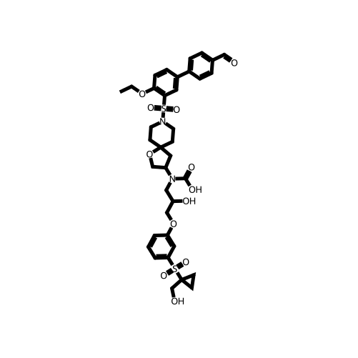 CCOc1ccc(-c2ccc(C=O)cc2)cc1S(=O)(=O)N1CCC2(CC1)CC(N(CC(O)COc1cccc(S(=O)(=O)C3(CO)CC3)c1)C(=O)O)CO2